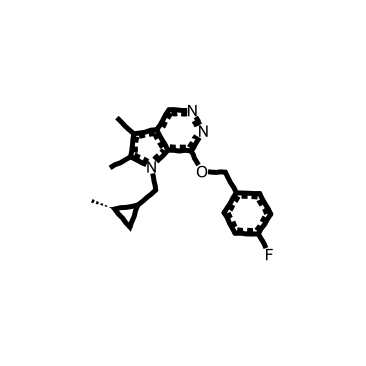 Cc1c(C)n(CC2C[C@@H]2C)c2c(OCc3ccc(F)cc3)nncc12